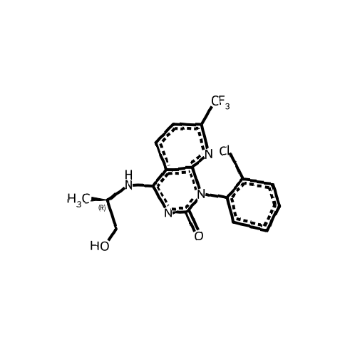 C[C@H](CO)Nc1nc(=O)n(-c2ccccc2Cl)c2nc(C(F)(F)F)ccc12